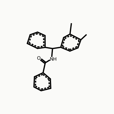 Cc1ccc(C(NC(=O)c2ccccc2)c2ccccc2)cc1C